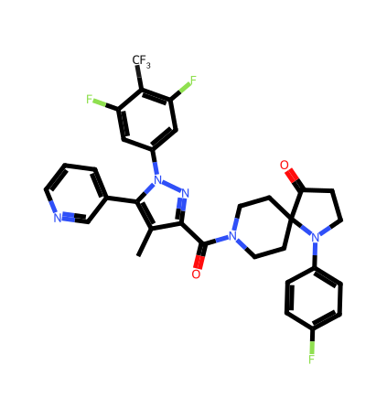 Cc1c(C(=O)N2CCC3(CC2)C(=O)CCN3c2ccc(F)cc2)nn(-c2cc(F)c(C(F)(F)F)c(F)c2)c1-c1cccnc1